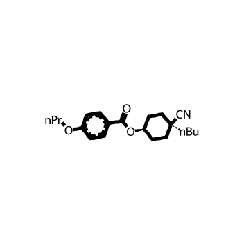 CCCC[C@]1(C#N)CC[C@@H](OC(=O)c2ccc(OCCC)cc2)CC1